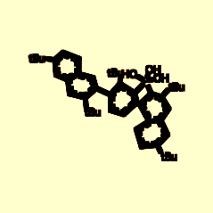 CC(C)(C)c1ccc2cc(-c3cccc(P(O)(O)(O)c4cc5ccc(C(C)(C)C)cc5cc4C(C)(C)C)c3C(C)(C)C)c(C(C)(C)C)cc2c1